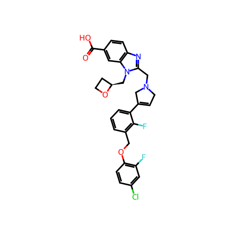 O=C(O)c1ccc2nc(CN3CC=C(c4cccc(COc5ccc(Cl)cc5F)c4F)C3)n(C[C@@H]3CCO3)c2c1